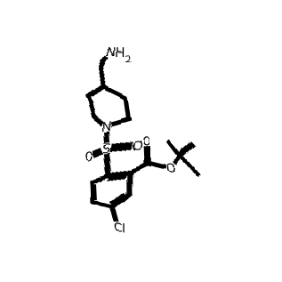 CC(C)(C)OC(=O)c1cc(Cl)ccc1S(=O)(=O)N1CCC(CN)CC1